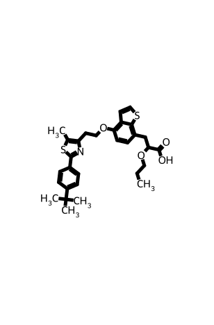 CCCOC(Cc1ccc(OCCc2nc(-c3ccc(C(C)(C)C)cc3)sc2C)c2ccsc12)C(=O)O